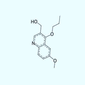 CCCOc1c(CO)cnc2ccc(OC)cc12